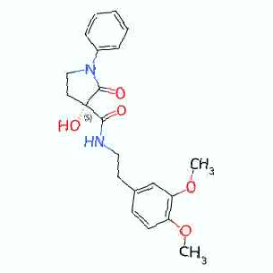 COc1ccc(CCNC(=O)[C@@]2(O)CCN(c3ccccc3)C2=O)cc1OC